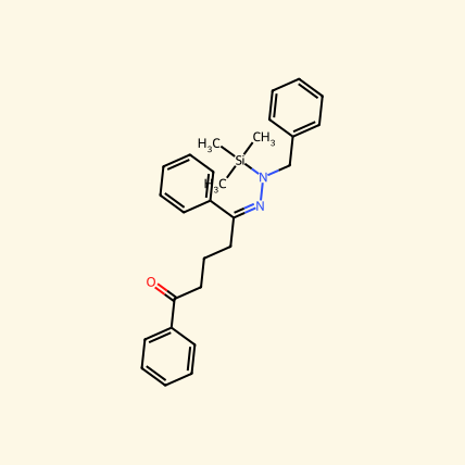 C[Si](C)(C)N(Cc1ccccc1)N=C(CCCC(=O)c1ccccc1)c1ccccc1